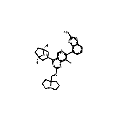 Nc1nc2c(-c3ncc4c(N5C[C@H]6CC[C@@H](C5)N6)nc(OCC56CCCN5CCC6)nc4c3F)cccc2s1